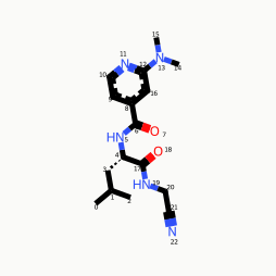 CC(C)C[C@H](NC(=O)c1ccnc(N(C)C)c1)C(=O)NCC#N